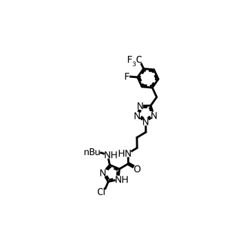 CCCCNc1nc(Cl)[nH]c1C(=O)NCCCn1nnc(Cc2ccc(C(F)(F)F)c(F)c2)n1